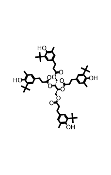 Cc1cc(CCC(=O)OC[C@H](OC(=O)CCc2cc(C)c(O)c(C(C)(C)C)c2)[C@@H](COC(=O)CCc2cc(C)c(O)c(C(C)(C)C)c2)OC(=O)CCc2cc(C)c(O)c(C(C)(C)C)c2)cc(C(C)(C)C)c1O